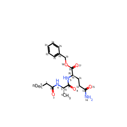 CCCCCCCCCCCC(=O)N[C@@H](C)C(=O)N[C@H](CCC(N)=O)C(=O)OCc1ccccc1